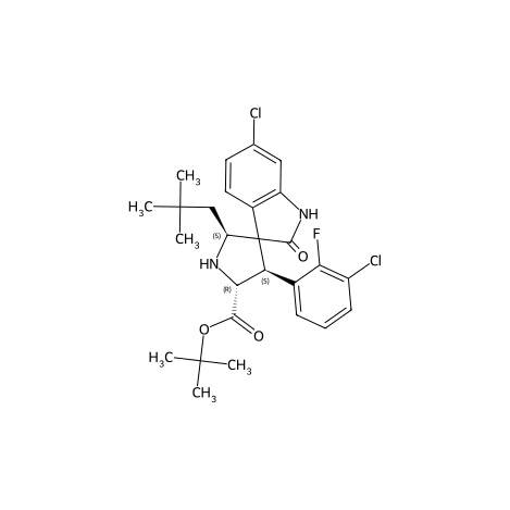 CC(C)(C)C[C@@H]1N[C@@H](C(=O)OC(C)(C)C)[C@H](c2cccc(Cl)c2F)C12C(=O)Nc1cc(Cl)ccc12